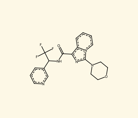 O=C(NC(c1cccnc1)C(F)(F)F)c1nc(N2CCOCC2)n2ccccc12